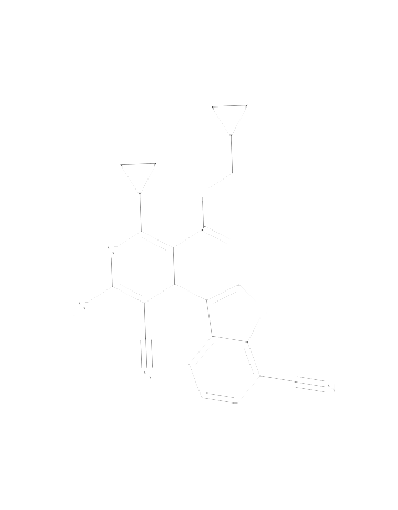 N#CC1=C(N)NC(C2CC2)=C(C(=O)OCC2CC2)C1c1csc2c(C#N)cccc12